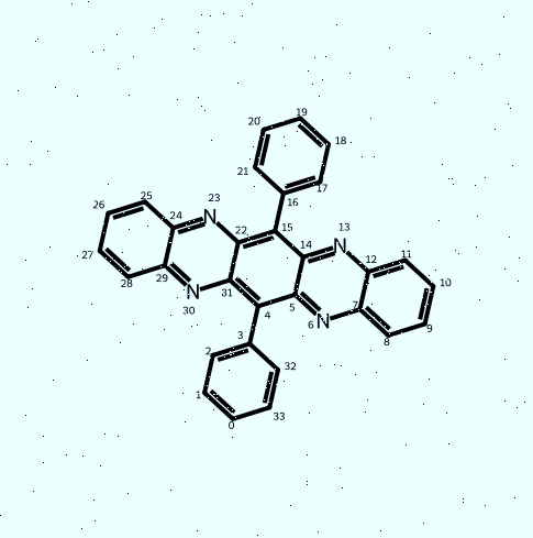 c1ccc(-c2c3nc4ccccc4nc3c(-c3ccccc3)c3nc4ccccc4nc23)cc1